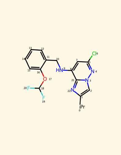 CC(C)c1cn2nc(Cl)cc(NCc3ccccc3OC(F)F)c2n1